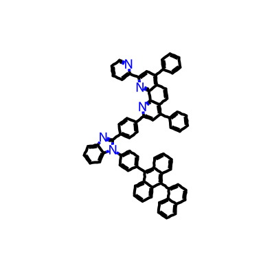 c1ccc(-c2cc(-c3ccc(-c4nc5ccccc5n4-c4ccc(-c5c6ccccc6c(-c6cccc7ccccc67)c6ccccc56)cc4)cc3)nc3c2ccc2c(-c4ccccc4)cc(-c4ccccn4)nc23)cc1